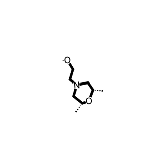 C[C@@H]1CN(CC[O])C[C@H](C)O1